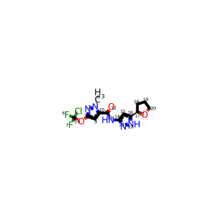 Cn1nc(OC(F)(F)Cl)cc1C(=O)Nc1cc([C@H]2C[CH]CO2)[nH]n1